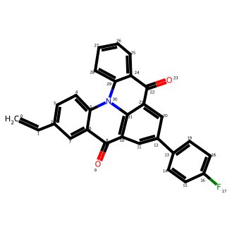 C=Cc1ccc2c(c1)c(=O)c1cc(-c3ccc(F)cc3)cc3c(=O)c4ccccc4n2c31